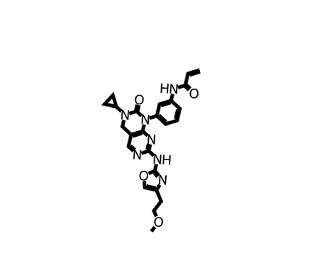 C=CC(=O)Nc1cccc(N2C(=O)N(C3CC3)Cc3cnc(Nc4nc(CCOC)co4)nc32)c1